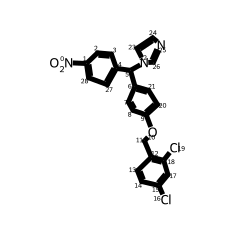 O=[N+]([O-])c1ccc(C(c2ccc(OCc3ccc(Cl)cc3Cl)cc2)n2ccnc2)cc1